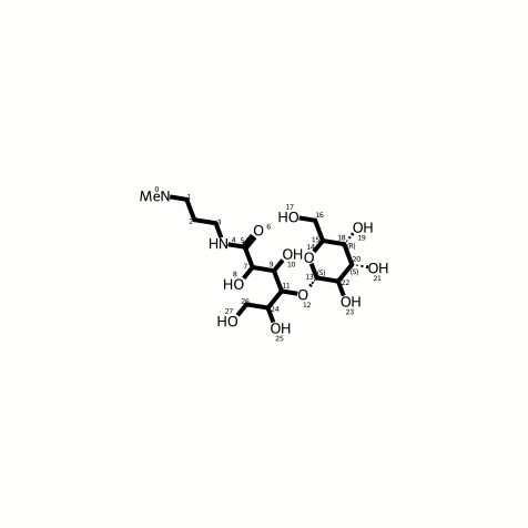 CNCCCNC(=O)C(O)C(O)C(O[C@@H]1OC(CO)[C@H](O)[C@H](O)C1O)C(O)CO